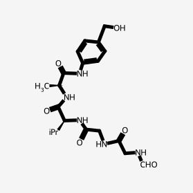 CC(C)[C@H](NC(=O)CNC(=O)CNC=O)C(=O)N[C@@H](C)C(=O)Nc1ccc(CO)cc1